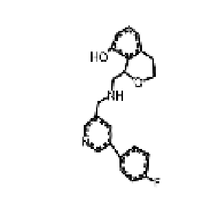 Oc1cccc2c1C(CNCc1cncc(-c3ccc(F)cc3)c1)OCC2